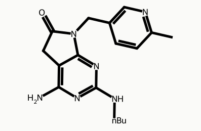 CCCCNc1nc(N)c2c(n1)N(Cc1ccc(C)nc1)C(=O)C2